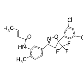 CC=CC(=O)Nc1cc(C2=NOC(c3cc(Cl)cc(Cl)c3)(C(F)(F)F)C2)ccc1C